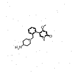 COc1cc(=O)n(C)cc1-c1ccccc1CN1CCC(N)CC1